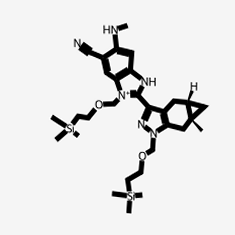 CNc1cc2[nH]c(-c3nn(COCC[Si](C)(C)C)c4c3C[C@@H]3C[C@]3(C)C4)[n+](COCC[Si](C)(C)C)c2cc1C#N